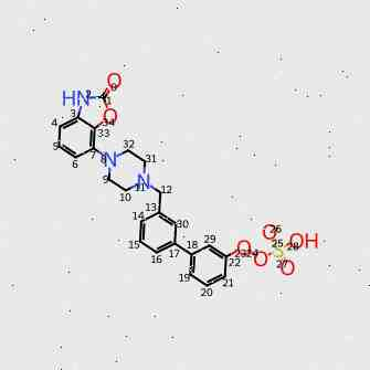 O=c1[nH]c2cccc(N3CCN(Cc4cccc(-c5cccc(OOS(=O)(=O)O)c5)c4)CC3)c2o1